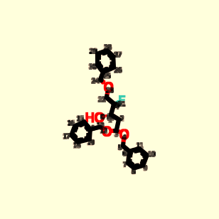 O[C@@H](CC(OCc1ccccc1)OCc1ccccc1)[C@H](F)COCc1ccccc1